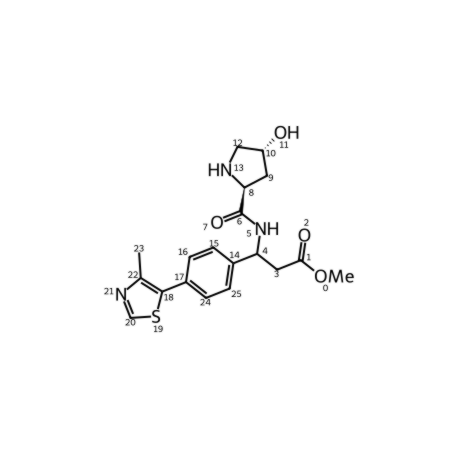 COC(=O)CC(NC(=O)[C@@H]1C[C@@H](O)CN1)c1ccc(-c2scnc2C)cc1